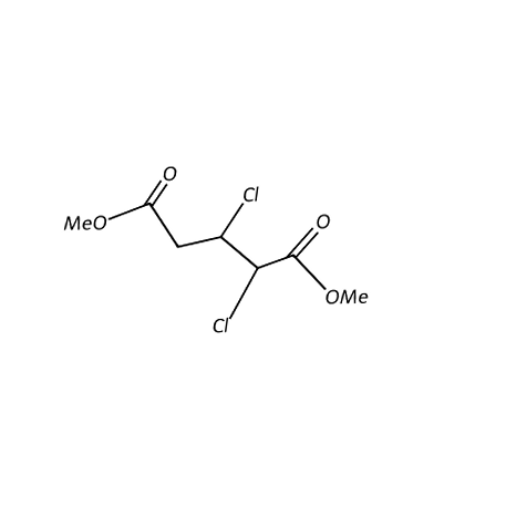 COC(=O)CC(Cl)C(Cl)C(=O)OC